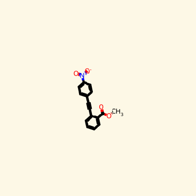 COC(=O)c1ccccc1C#Cc1ccc([N+](=O)[O-])cc1